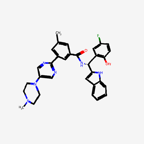 Cc1cc(C(=O)N[C@@H](c2cc3ccccc3[nH]2)c2cc(F)ccc2O)cc(-c2ncc(N3CCN(C)CC3)cn2)c1